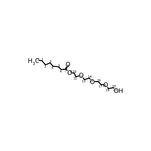 CCCCCCCC(=O)OCCOCCOCCOCCO